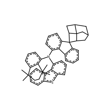 CC1(C)CCC(C)(C)c2c(N(c3cccc4c3-c3ccccc3C43C4CC5CC6CC3C64C5)c3cccc4sc5ccccc5c34)cccc21